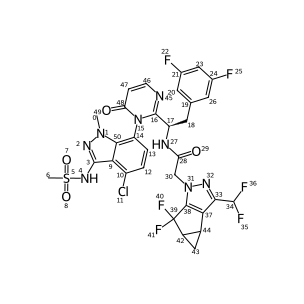 Cn1nc(NS(C)(=O)=O)c2c(Cl)ccc(-n3c([C@@H](Cc4cc(F)cc(F)c4)NC(=O)Cn4nc(C(F)F)c5c4C(F)(F)C4CC54)nccc3=O)c21